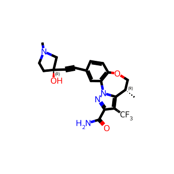 C[C@H]1COc2ccc(C#C[C@]3(O)CCN(C)C3)cc2-n2nc(C(N)=O)c(C(F)(F)F)c21